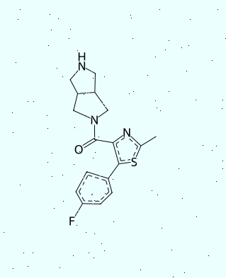 Cc1nc(C(=O)N2CC3CNCC3C2)c(-c2ccc(F)cc2)s1